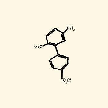 CCOC(=O)c1ccc(-c2cc(N)ccc2OC)cc1